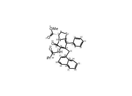 COC(=O)[C@@H]1CSc2c(-c3ccccc3)c(Cc3cccc4ccccc34)c(NC(=O)C(C)C)c(=O)n21